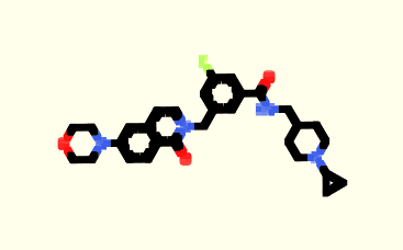 O=C(NCC1CCN(C2CC2)CC1)c1cc(F)cc(Cn2ccc3cc(N4CCOCC4)ccc3c2=O)c1